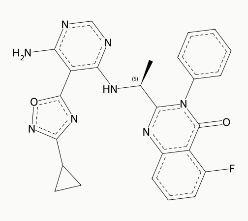 C[C@H](Nc1ncnc(N)c1-c1nc(C2CC2)no1)c1nc2cccc(F)c2c(=O)n1-c1ccccc1